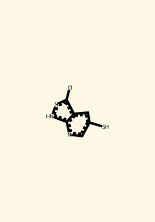 Sc1cnc2[nH]nc(Cl)c2c1